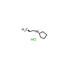 C=C[CH2][Ni][CH]1CCCC1.Cl